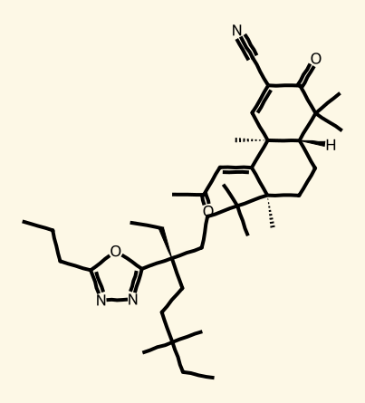 CCCc1nnc([C@@](CC)(CCC(C)(C)CC)CCC(C)(C)[C@]2(C)CC[C@H]3C(C)(C)C(=O)C(C#N)=C[C@]3(C)/C2=C/C(C)=O)o1